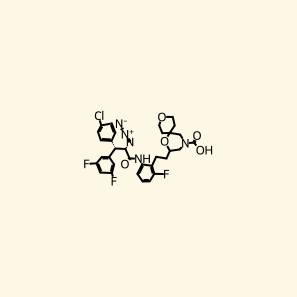 [N-]=[N+]=N[C@H](C(=O)Nc1cccc(F)c1CCC1CN(C(=O)O)CC2(CCOCC2)O1)[C@@H](c1ccc(Cl)cc1)c1cc(F)cc(F)c1